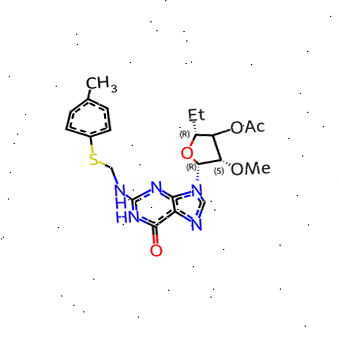 CC[C@H]1O[C@@H](n2cnc3c(=O)[nH]c(NCSc4ccc(C)cc4)nc32)[C@@H](OC)C1OC(C)=O